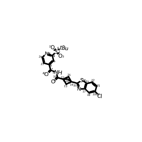 CC(C)(C)S(=O)(=O)c1cc(C(=O)NC(=O)C23CC(c4nc5cc(Cl)ccc5s4)(C2)C3)ccn1